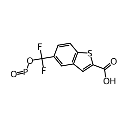 O=POC(F)(F)c1ccc2sc(C(=O)O)cc2c1